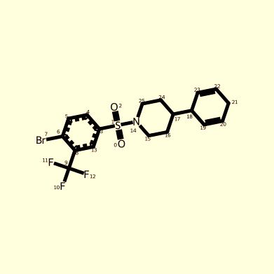 O=S(=O)(c1ccc(Br)c(C(F)(F)F)c1)N1CCC(C2C=CCC=C2)CC1